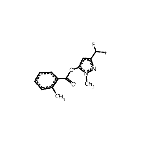 Cc1ccccc1C(=O)Oc1cc(C(F)F)nn1C